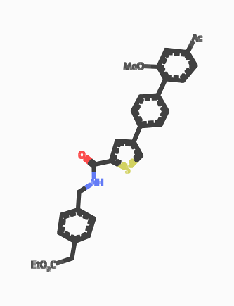 CCOC(=O)Cc1ccc(CNC(=O)c2cc(-c3ccc(-c4ccc(C(C)=O)cc4OC)cc3)cs2)cc1